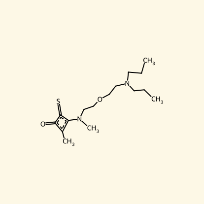 CCCN(CCC)CCOCCN(C)c1c(C)c(=O)c1=S